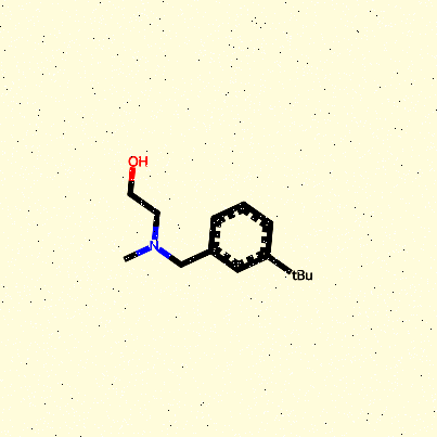 CN(CCO)Cc1cccc(C(C)(C)C)c1